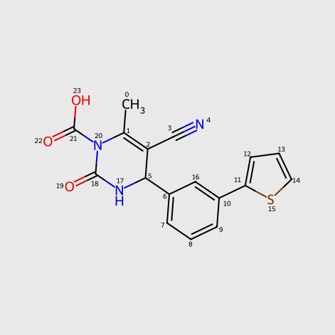 CC1=C(C#N)C(c2cccc(-c3cccs3)c2)NC(=O)N1C(=O)O